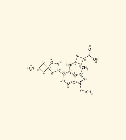 CCn1nc(C)c2c(NC3CC(C(=O)O)C3)c(C3=NOC4(C3)CC(N)C4)cnc21